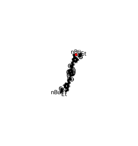 CCCCC(CC)C(=O)N1CCc2cc(/C=C/C(=O)O[C@H]3CO[C@H]4[C@@H]3OC[C@H]4OC(=O)/C=C/c3ccc4c(c3)CCN4C(=O)C(CC)CCCC)ccc21